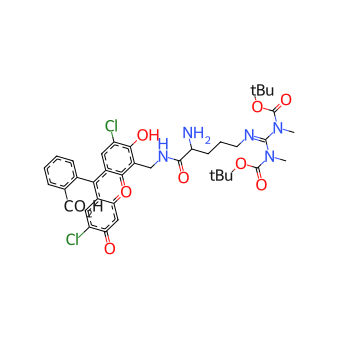 CN(C(=O)OC(C)(C)C)C(=NCCCC(N)C(=O)NCc1c(O)c(Cl)cc2c(-c3ccccc3C(=O)O)c3cc(Cl)c(=O)cc-3oc12)N(C)C(=O)OC(C)(C)C